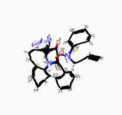 C#CCN(CC(=O)C1(N)CCCc2ccccc2N1C(=O)c1ccccc1)c1ccccc1